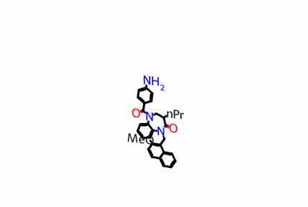 CCCC1CN(C(=O)c2ccc(N)cc2)c2ccccc2N(Cc2c(OC)ccc3ccccc23)C1=O